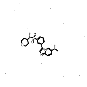 CNc1ccc2ncc(-c3cccc(S(=O)(=O)NC4CCOCC4)c3)n2c1